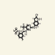 Cc1ccc(NS(C)(=O)=O)c(CNc2nc(Nc3ccc4c(c3)CC(=O)N4)ncc2C(F)(F)F)c1